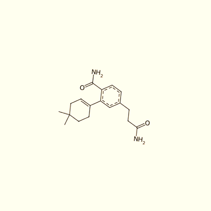 CC1(C)CC=C(c2cc(CCC(N)=O)ccc2C(N)=O)CC1